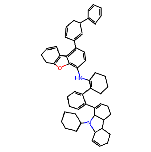 C1=Cc2c(oc3c(NC4=C(C5=CCCC=C5C5=CCCC6C7CCC=CC7N(C7CCCCC7)C56)CCCC4)ccc(C4=CC(c5ccccc5)CC=C4)c23)CC1